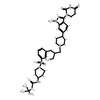 CCC(Cc1cccc(S(=O)(=O)N2CCC(NC(=O)OC(C)(C)C)CC2)c1)CN1CCC(c2ccc3c(N4CCC(=O)NC4=O)nn(C)c3c2)CC1